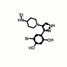 CCNC1CCN(c2c[nH]nc2-c2cc(Br)c(O)cc2O)CC1